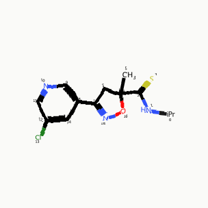 CC(C)NC(=S)C1(C)CC(c2cncc(Cl)c2)=NO1